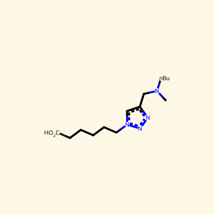 CCCCN(C)Cc1cn(CCCCCC(=O)O)nn1